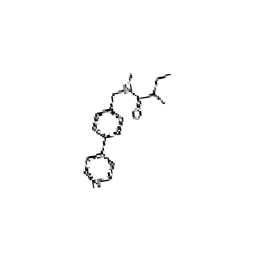 CCC(C)C(=O)N(C)Cc1ccc(-c2ccncc2)cc1